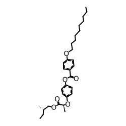 CCCCCCCCCCOc1ccc(C(=O)Oc2ccc(O[C@@H](C)C(=O)OC[C@@H](C)CC)cc2)cc1